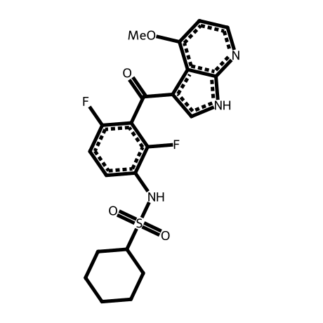 COc1ccnc2[nH]cc(C(=O)c3c(F)ccc(NS(=O)(=O)C4CCCCC4)c3F)c12